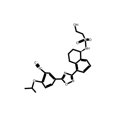 [C-]#[N+]c1cc(-c2nc(-c3cccc4c3CCC[C@H]4NS(=O)(=O)CCO)no2)ccc1OC(C)C